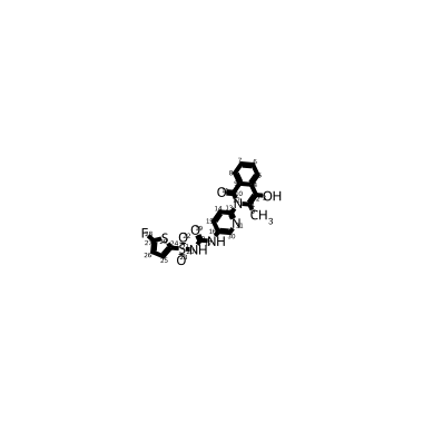 Cc1c(O)c2ccccc2c(=O)n1-c1ccc(NC(=O)NS(=O)(=O)c2ccc(F)s2)cn1